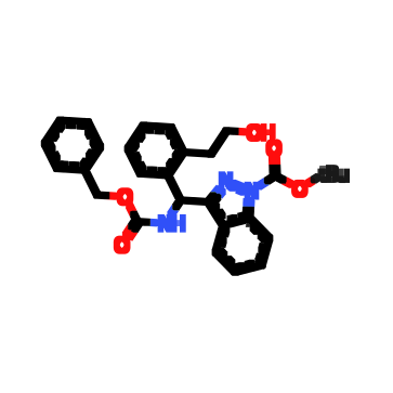 CC(C)(C)OC(=O)n1nc(C(NC(=O)OCc2ccccc2)c2ccccc2CCO)c2ccccc21